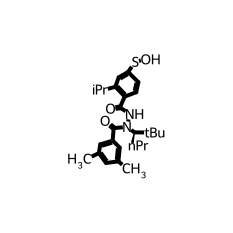 CCC[C@@H](N(NC(=O)c1ccc(SO)cc1C(C)C)C(=O)c1cc(C)cc(C)c1)C(C)(C)C